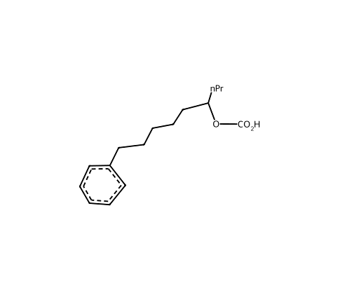 CCCC(CCCCCc1ccccc1)OC(=O)O